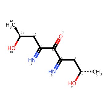 C[C@H](O)CC(=N)C(=O)C(=N)C[C@H](C)O